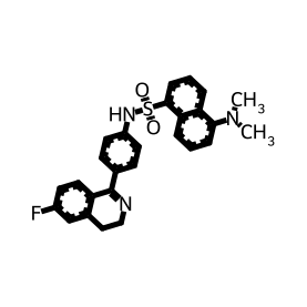 CN(C)c1cccc2c(S(=O)(=O)Nc3ccc(C4=NCCc5cc(F)ccc54)cc3)cccc12